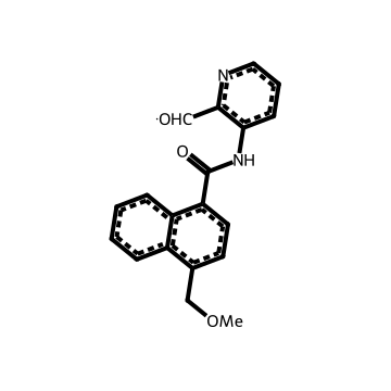 COCc1ccc(C(=O)Nc2cccnc2[C]=O)c2ccccc12